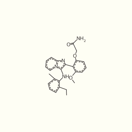 CCc1cccc(C)c1Nc1c(-c2c(OC)cccc2OCC(N)=O)nc2ccccn12